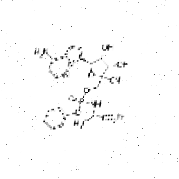 CCOC(=O)[C@H](C)N[P@](=O)(OC[C@@]1(C#N)O[C@@H](c2ccc3c(N)ccnn23)[C@H](O)[C@@H]1O)Oc1ccccc1